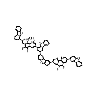 CN1CC(c2cccc3c2oc2ccccc23)=Cc2c(F)c(F)c3cc(-c4cc(-c5ccc6oc7ccc(-c8cnc9c(c8)c(F)c(F)c8cc(-c%10ccc%11oc%12ccccc%12c%11c%10)cnc89)cc7c6c5)cc5c4oc4ccccc45)cnc3c21